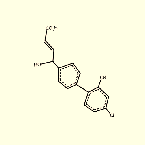 N#Cc1cc(Cl)ccc1-c1ccc(C(O)C=CC(=O)O)cc1